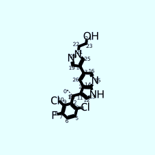 C[C@@H](c1c(Cl)ccc(F)c1Cl)c1c[nH]c2ncc(-c3cnn(CCO)c3)cc12